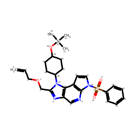 C=CCOCc1nc2cnc3c(ccn3S(=O)(=O)c3ccccc3)c2n1C1CCC(O[Si](C)(C)C(C)(C)C)CC1